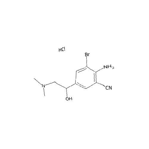 CN(C)CC(O)c1cc(Br)c(N)c(C#N)c1.Cl